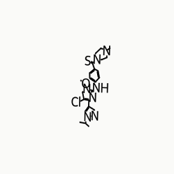 COc1cc(C(=S)N2CCN(C)CC2)ccc1Nc1ncc(Cl)c(-c2cnn(C(C)C)c2)n1